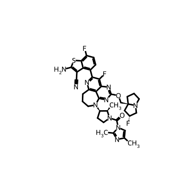 Cc1cn(C(=O)N2CC[C@@H](N3CCCc4nc(-c5ccc(F)c6sc(N)c(C#N)c56)c(F)c5nc(OC[C@@]67CCCN6C[C@H](F)C7)nc3c45)[C@H]2C)c(C)n1